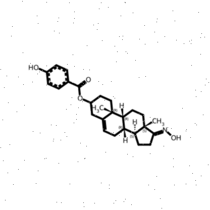 C[C@]12CCC(OC(=O)c3ccc(O)cc3)CC1=CC[C@@H]1[C@H]2CC[C@]2(C)C(=NO)CC[C@@H]12